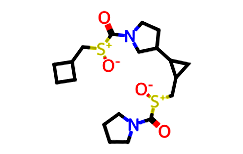 O=C(N1CCC(C2CC2C[S+]([O-])C(=O)N2CCCC2)C1)[S+]([O-])CC1CCC1